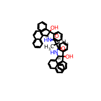 CC(C)(C(=O)N[C@H](c1cccc2ccccc12)C(O)(c1ccccc1)c1ccccc1)C(=O)N[C@H](c1cccc2ccccc12)C(O)(c1ccccc1)c1ccccc1